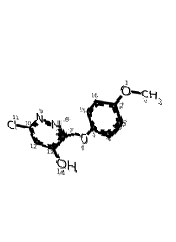 COc1ccc(Oc2nnc(Cl)cc2O)cc1